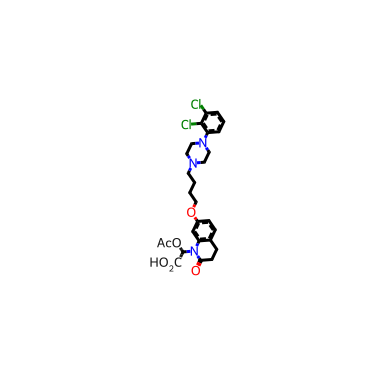 CC(=O)OC(C(=O)O)N1C(=O)CCc2ccc(OCCCCN3CCN(c4cccc(Cl)c4Cl)CC3)cc21